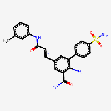 Cc1cccc(NC(=O)/C=C/c2cc(C(N)=O)c(N)c(-c3ccc(S(N)(=O)=O)cc3)c2)c1